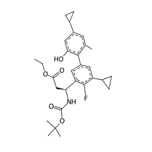 CCOC(=O)C[C@H](NC(=O)OC(C)(C)C)c1cc(-c2c(C)cc(C3CC3)cc2O)cc(C2CC2)c1F